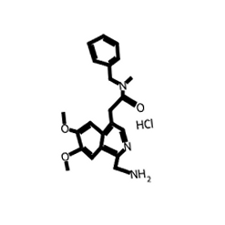 COc1cc2c(CC(=O)N(C)Cc3ccccc3)cnc(CN)c2cc1OC.Cl